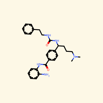 CN(C)CCCC(NC(=O)NCCc1ccccc1)c1ccc(C(=O)Nc2ccccc2N)cc1